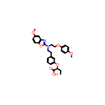 CCC(Oc1cccc(CCN(CCOc2ccc(OC)cc2)c2nc3cc(OC)ccc3o2)c1)C(=O)O